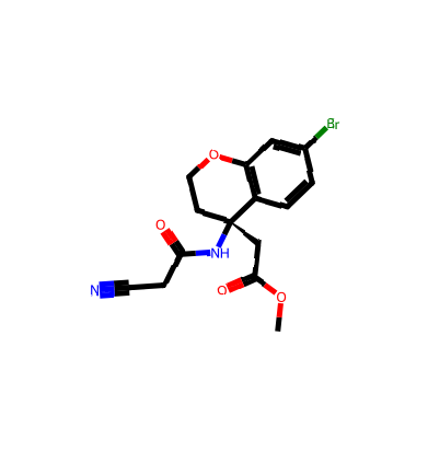 COC(=O)C[C@@]1(NC(=O)CC#N)CCOc2cc(Br)ccc21